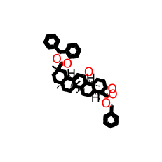 C[C@]1(C(=O)OC(c2ccccc2)c2ccccc2)CC[C@]2(C)CC[C@]3(C)C(=CC(=O)[C@@H]4[C@@]5(C)CCC(=O)[C@@](C)(C(=O)OCc6ccccc6)[C@@H]5CC[C@]43C)[C@@H]2C1